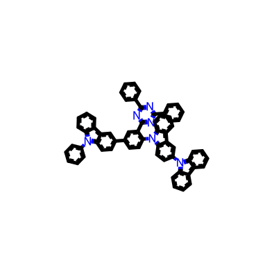 c1ccc(-c2nc(-c3ccccc3)nc(-c3cc(-c4ccc5c(c4)c4ccccc4n5-c4ccccc4)ccc3-n3c4ccccc4c4cc(-n5c6ccccc6c6ccccc65)ccc43)n2)cc1